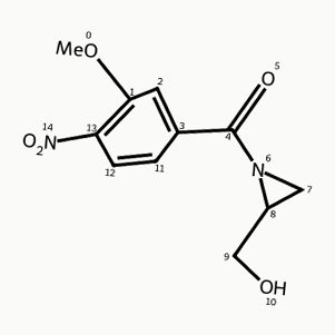 COc1cc(C(=O)N2CC2CO)ccc1[N+](=O)[O-]